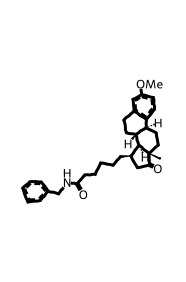 COc1ccc2c(c1)CC[C@H]1[C@@H]3[C@H](CCCCCC(=O)NCc4ccccc4)CC(=O)[C@@]3(C)CC[C@H]21